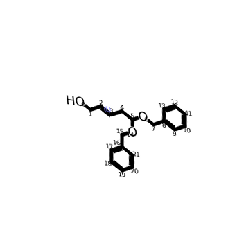 OC/C=C/CC(OCc1ccccc1)OCc1ccccc1